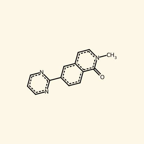 Cn1ccc2cc(-c3ncccn3)ccc2c1=O